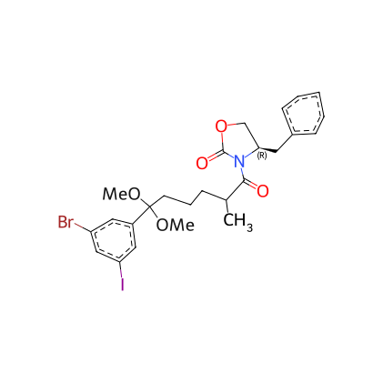 COC(CCCC(C)C(=O)N1C(=O)OC[C@H]1Cc1ccccc1)(OC)c1cc(Br)cc(I)c1